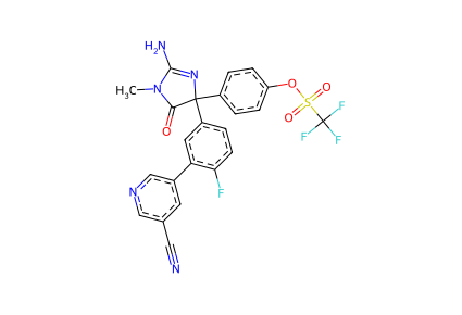 CN1C(=O)C(c2ccc(OS(=O)(=O)C(F)(F)F)cc2)(c2ccc(F)c(-c3cncc(C#N)c3)c2)N=C1N